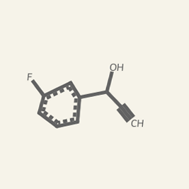 C#CC(O)c1cccc(F)c1